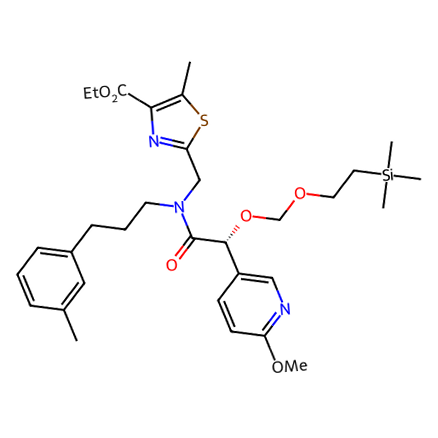 CCOC(=O)c1nc(CN(CCCc2cccc(C)c2)C(=O)[C@H](OCOCC[Si](C)(C)C)c2ccc(OC)nc2)sc1C